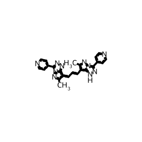 Cc1nn2c(-c3ccncc3)n[nH]c2c1/C=C/C=c1/c(C)nn2c(-c3ccncc3)nnc12